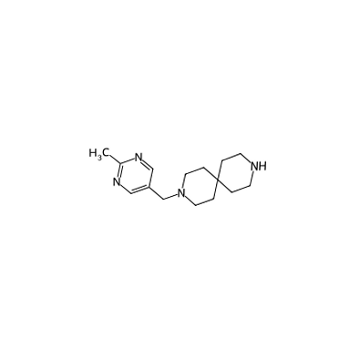 Cc1ncc(CN2CCC3(CCNCC3)CC2)cn1